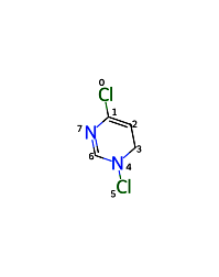 ClC1=CCN(Cl)C=N1